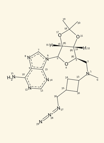 CN(C[C@H]1OC(n2cnc3c(N)ncnc32)[C@@H]2OC(C)(C)O[C@H]12)C1CC(CN=[N+]=[N-])C1